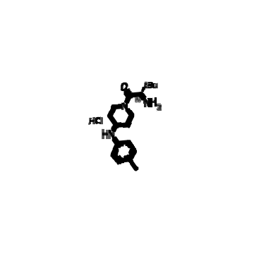 Cc1ccc(NC2CCN(C(=O)[C@@H](N)C(C)(C)C)CC2)cc1.Cl